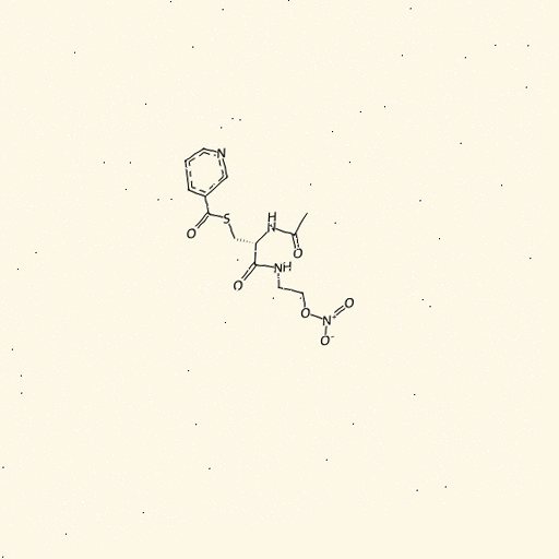 CC(=O)N[C@@H](CSC(=O)c1cccnc1)C(=O)NCCO[N+](=O)[O-]